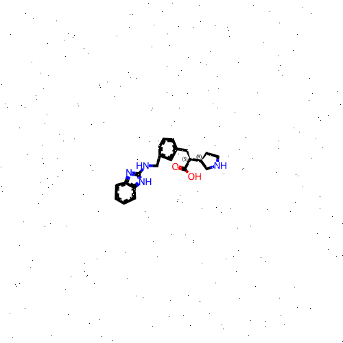 O=C(O)[C@@H](Cc1cccc(CNc2nc3ccccc3[nH]2)c1)[C@H]1CCNC1